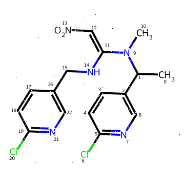 CC(c1ccc(Cl)nc1)N(C)C(=C[N+](=O)[O-])NCc1ccc(Cl)nc1